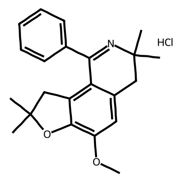 COc1cc2c(c3c1OC(C)(C)C3)C(c1ccccc1)=NC(C)(C)C2.Cl